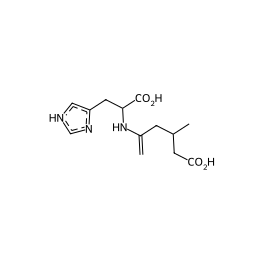 C=C(CC(C)CC(=O)O)NC(Cc1c[nH]cn1)C(=O)O